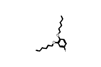 CCCCCCOc1ccc(I)cc1OCCCCCC